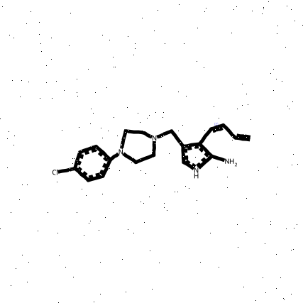 C=C/C=C\c1c(CN2CCN(c3ccc(Cl)cc3)CC2)c[nH]c1N